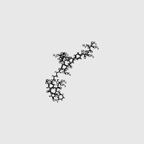 C=C1C[C@H]2[C@H](OC3CCCCO3)N(C(=O)OC(C)(C)C)c3cc(OCCCCCOc4cc5c(cc4OC)C(=O)N4C=C(c6ccc(NC(=O)C(C)NC(=O)C(N)C(C)C)cc6)C[C@H]4[C@H](O[Si](C)(C)C(C)(C)C)N5C(=O)O)c(OC)cc3C(=O)N2C1